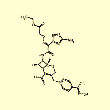 CCOC(=O)CON=C(C(=O)NC1C(=O)N2C(C(=O)[O-])=C(C[n+]3ccc(C(C)=NO)cc3)CS[C@@H]12)c1noc(N)n1